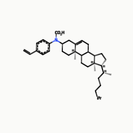 C=Cc1ccc(N(C(=O)O)C2CC[C@@]3(C)C(=CCC4C3CC[C@@]3(C)C4CC[C@@H]3[C@H](C)CCCC(C)C)C2)cc1